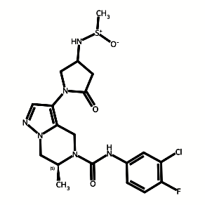 C[C@H]1Cn2ncc(N3CC(N[S+](C)[O-])CC3=O)c2CN1C(=O)Nc1ccc(F)c(Cl)c1